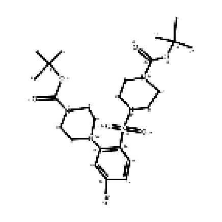 CC(C)(C)OC(=O)N1CCN(c2cc(Br)ccc2S(=O)(=O)N2CCN(C(=O)OC(C)(C)C)CC2)CC1